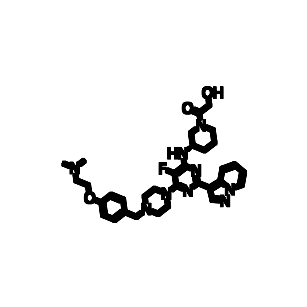 CN(C)CCOc1ccc(CN2CCN(c3nc(-c4cnn5ccccc45)nc(N[C@@H]4CCCN(C(=O)CO)C4)c3F)CC2)cc1